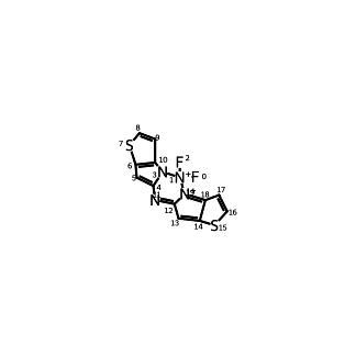 F[N+]1(F)n2c(cc3sccc32)N=C2C=c3sccc3=[N+]21